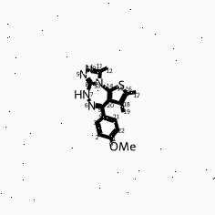 COc1ccc(C2=NNc3nnc(C)n3-c3sc(C)c(C)c32)cc1